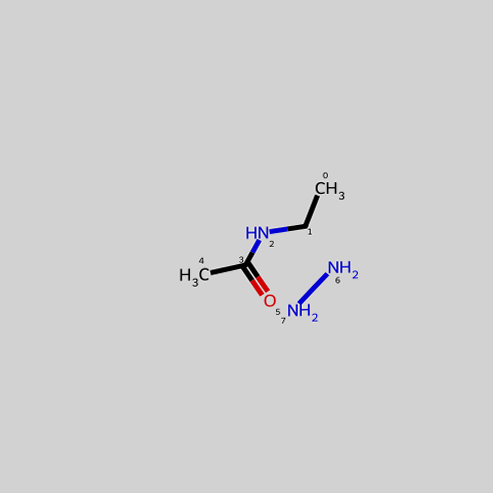 CCNC(C)=O.NN